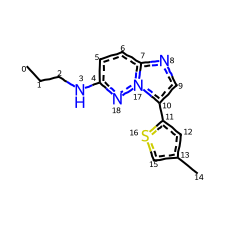 CCCNc1ccc2ncc(-c3cc(C)cs3)n2n1